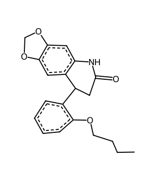 CCCCOc1ccccc1C1CC(=O)Nc2cc3c(cc21)OCO3